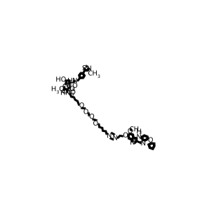 COc1cc2c(Nc3ccc(Oc4ccccc4)cc3)c(C#N)cnc2cc1OCCCN1CCN(CCCCCCOCCOCCOCCOCCCCCC(=O)N[C@H](C(=O)N2C[C@H](O)C[C@H]2C(=O)NCc2ccc(-c3scnc3C)cc2)C(C)(C)C)CC1